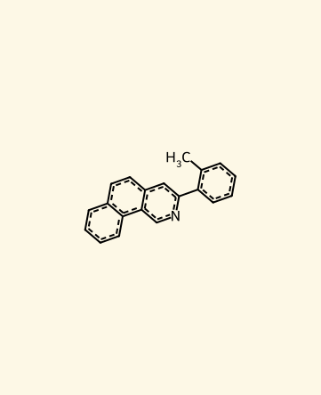 Cc1ccccc1-c1cc2ccc3ccccc3c2cn1